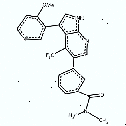 COc1ccncc1-c1c[nH]c2ncc(-c3cccc(C(=O)N(C)C)c3)c(C(F)(F)F)c12